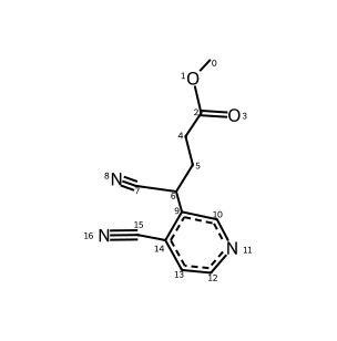 COC(=O)CCC(C#N)c1cnccc1C#N